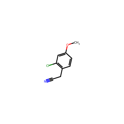 COc1ccc(CC#N)c(Cl)c1